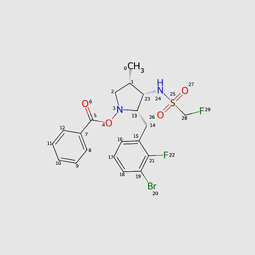 C[C@H]1CN(OC(=O)c2ccccc2)[C@@H](Cc2cccc(Br)c2F)[C@H]1NS(=O)(=O)CF